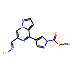 CC(C)(C)OC(=O)n1cc(-c2nc(/C=N/O)cn3nccc23)cn1